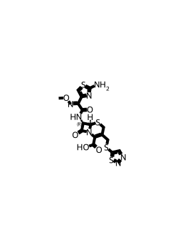 CON=C(C(=O)N[C@@H]1C(=O)N2C(C(=O)O)=C(CSc3cnns3)CS[C@H]12)c1csc(N)n1